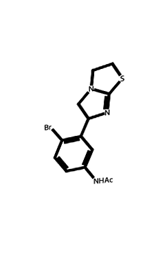 CC(=O)Nc1ccc(Br)c(C2CN3CCSC3=N2)c1